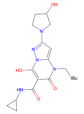 CC(C)(C)Cn1c(=O)c(C(=O)NC2CC2)c(O)n2nc(N3CCC(O)C3)cc12